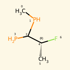 CPC(P)[C@@H](C)F